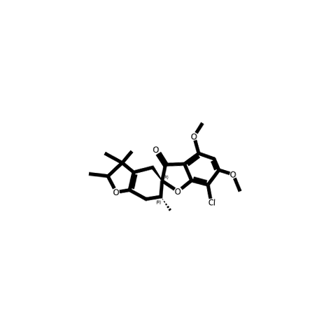 COc1cc(OC)c2c(c1Cl)O[C@@]1(CC3=C(C[C@H]1C)OC(C)C3(C)C)C2=O